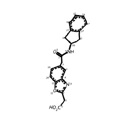 O=C(O)Cc1nc2cc(C(=O)NC3Cc4ccccc4C3)ccc2o1